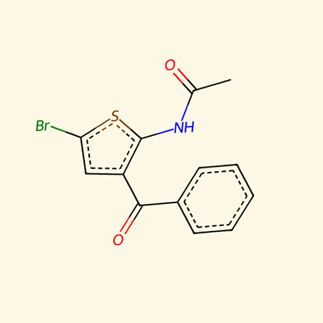 CC(=O)Nc1sc(Br)cc1C(=O)c1ccccc1